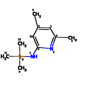 Cc1cc(C)nc(NS(C)(C)C)c1